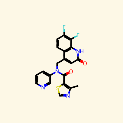 Cc1ncsc1C(=O)N(Cc1cc(=O)[nH]c2c(F)c(F)ccc12)c1cccnc1